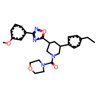 CCc1ccc(C2CC(c3nc(-c4cccc(OC)c4)no3)CN(C(=O)N3CCOCC3)C2)cc1